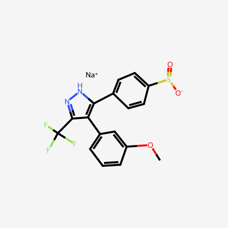 COc1cccc(-c2c(C(F)(F)F)n[nH]c2-c2ccc(S(=O)[O-])cc2)c1.[Na+]